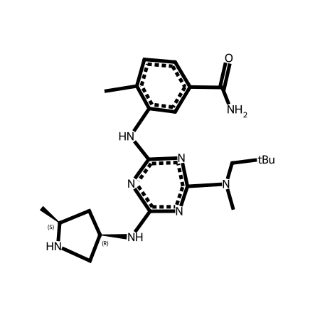 Cc1ccc(C(N)=O)cc1Nc1nc(N[C@H]2CN[C@@H](C)C2)nc(N(C)CC(C)(C)C)n1